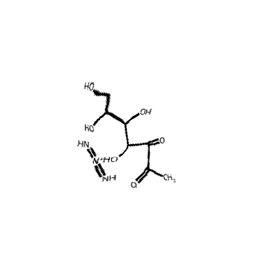 CC(=O)C(=O)C(O)C(O)C(O)CO.N=[N+]=N